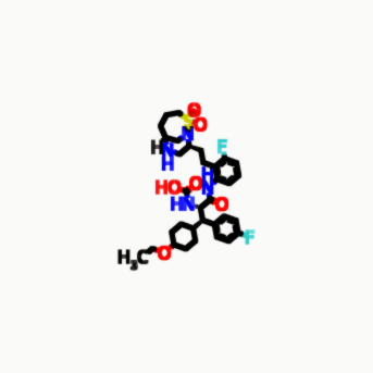 CCOC1CCC([C@H](c2ccc(F)cc2)[C@H](NC(=O)O)C(=O)Nc2cccc(F)c2CC[C@H]2CN[C@@H]3CCCS(=O)(=O)N2C3)CC1